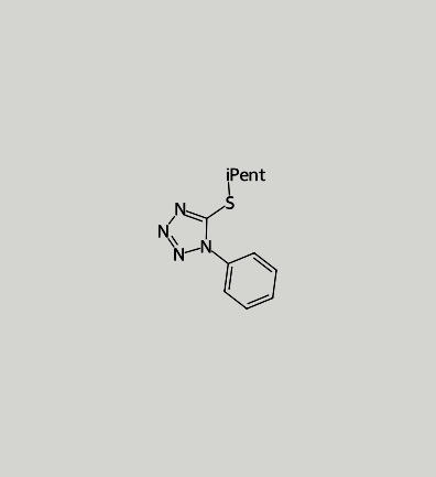 CCCC(C)Sc1nnnn1-c1ccccc1